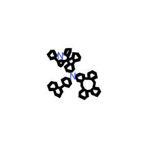 c1ccc2c(c1)Cc1ccccc1-c1ccc(N(c3ccc(-c4cccc5ccccc45)cc3)c3ccc4c(c3)-c3ccccc3C43c4ccccc4-n4c5ccccc5c5cccc3c54)cc1Cc1ccccc1-2